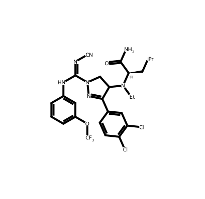 CCN(C1CN(C(=NC#N)Nc2cccc(OC(F)(F)F)c2)N=C1c1ccc(Cl)c(Cl)c1)[C@H](CC(C)C)C(N)=O